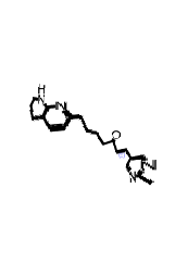 Cc1ncc(/C=C/C(=O)CCCCc2ccc3c(n2)NCCC3)cn1